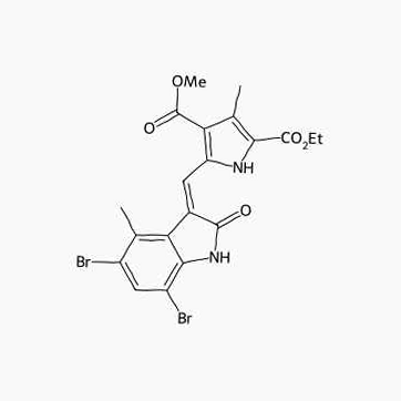 CCOC(=O)c1[nH]c(C=C2C(=O)Nc3c(Br)cc(Br)c(C)c32)c(C(=O)OC)c1C